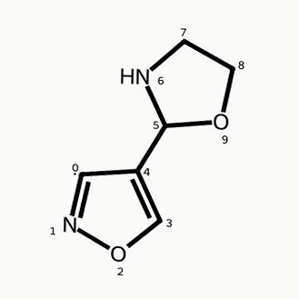 [c]1nocc1C1NCCO1